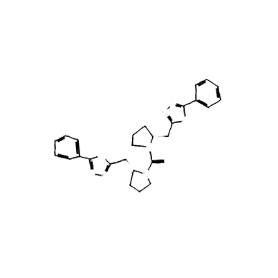 O=C(N1CCC[C@H]1Cc1nnc(-c2ccccc2)o1)N1CCC[C@H]1Cc1nnc(-c2ccccc2)o1